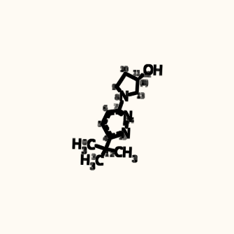 CC(C)(C)c1ccc(N2CC[C@@H](O)C2)nn1